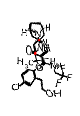 CC(C)(Oc1ccc(Cl)cc1CCO)C(=O)N[C@H]1C[C@H]2CC[C@@H](C1)N2c1ccc(C(=O)NCC(F)(F)F)cn1